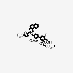 CCOC(=O)CS(=O)(=O)c1cc(-c2ccc(CN(Cc3ccc(C(F)(F)F)o3)Cc3c(C)ccc4ccccc34)cc2OC)cc(F)c1CO